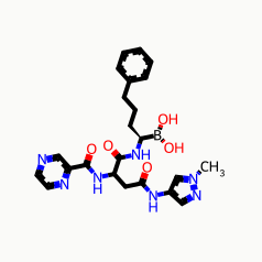 Cn1cc(NC(=O)CC(NC(=O)c2cnccn2)C(=O)N[C@@H](CCCc2ccccc2)B(O)O)cn1